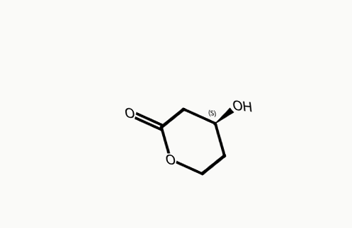 O=C1C[C@@H](O)CCO1